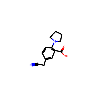 N#CCc1ccc(N2CCCC2)c(C(=O)O)c1